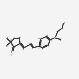 CCCN(C)c1ccc(/C=C/C=C2\CCC(C)(C)C2=O)cc1